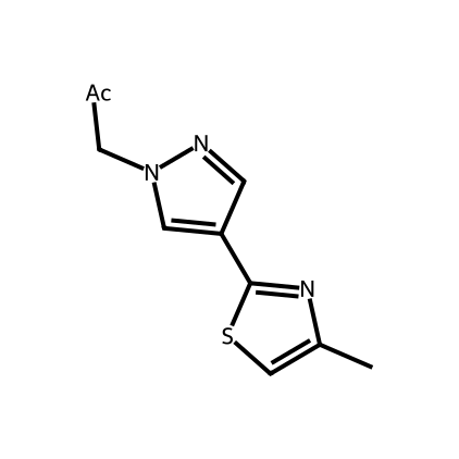 CC(=O)Cn1cc(-c2nc(C)cs2)cn1